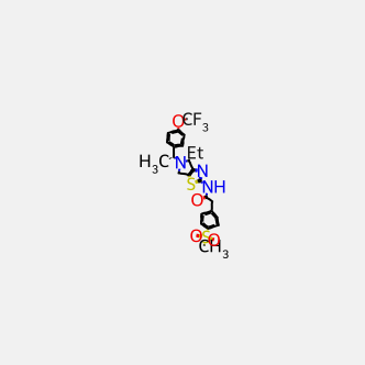 CC[C@@H]1c2nc(NC(=O)Cc3ccc(S(C)(=O)=O)cc3)sc2CN1[C@H](C)c1ccc(OC(F)(F)F)cc1